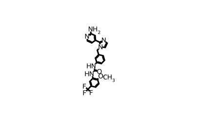 COc1ccc(C(F)(F)F)cc1NC(=O)Nc1cccc(Cn2ccnc2-c2ccnc(N)c2)c1